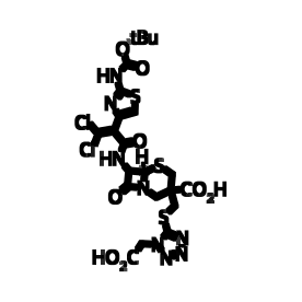 CC(C)(C)OC(=O)Nc1nc(C(C(=O)NC2C(=O)N3CC(CSc4nnnn4CC(=O)O)(C(=O)O)CS[C@H]23)=C(Cl)Cl)cs1